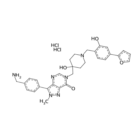 Cl.Cl.Cn1nc2c(=O)n(CC3(O)CCN(Cc4ccc(-c5ccco5)cc4O)CC3)cnc2c1-c1ccc(CN)cc1